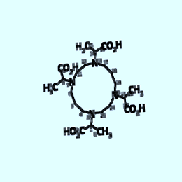 CC(C(=O)O)N1CCCN(C(C)C(=O)O)CCN(C(C)C(=O)O)CCCN(C(C)C(=O)O)CC1